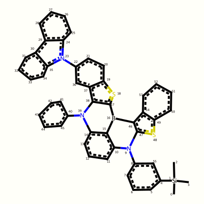 C[Si](C)(C)c1cccc(N2c3cccc4c3B(c3sc5ccc(-n6c7ccccc7c7ccccc76)cc5c3N4c3ccccc3)c3c2sc2ccccc32)c1